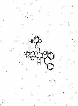 CC(C)NC(=O)OCCC(O)C(NC(=O)OCc1cncs1)C(Cc1ccccc1)c1ccccc1